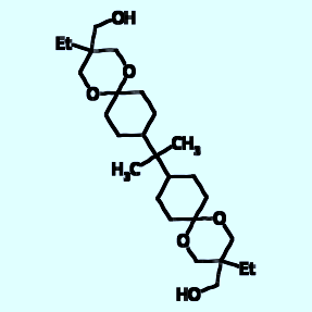 CCC1(CO)COC2(CCC(C(C)(C)C3CCC4(CC3)OCC(CC)(CO)CO4)CC2)OC1